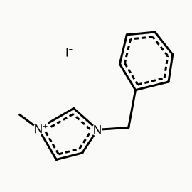 C[n+]1ccn(Cc2ccccc2)c1.[I-]